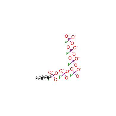 O=P([O-])([O-])F.O=P([O-])([O-])F.O=P([O-])([O-])F.O=P([O-])([O-])F.O=P([O-])([O-])F.O=P([O-])([O-])F.[Fe+3].[Fe+3].[Fe+3].[Fe+3]